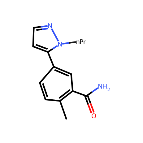 CCCn1nccc1-c1ccc(C)c(C(N)=O)c1